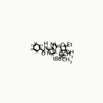 CC[C@H]1O[C@@H](c2cnc3c(NC(=O)c4ccccc4)nccn23)C(O[Si](C)(C)C(C)(C)C)[C@H]1O